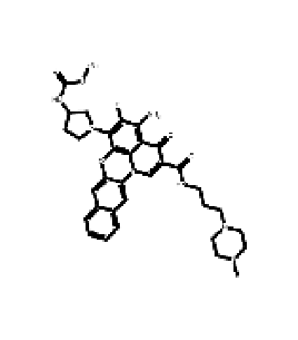 CN1CCN(CCCNC(=O)c2cn3c4c(c(N5CCC(NC(=O)OC(C)(C)C)C5)c(F)c(N)c4c2=O)Oc2cc4ccccc4cc2-3)CC1